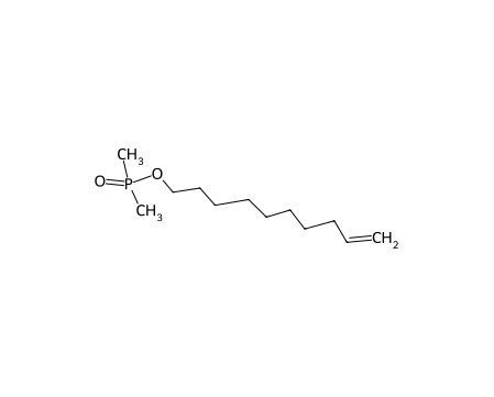 C=CCCCCCCCCOP(C)(C)=O